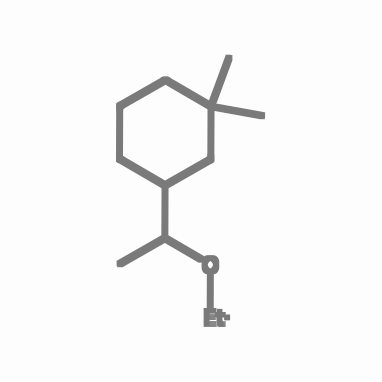 [CH2][CH]OC(C)C1CCCC(C)(C)C1